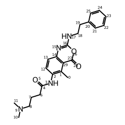 Cc1c(NC(=O)CCCN(C)C)ccc2nc(NCCc3ccccc3)oc(=O)c12